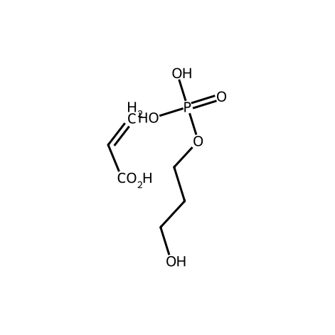 C=CC(=O)O.O=P(O)(O)OCCCO